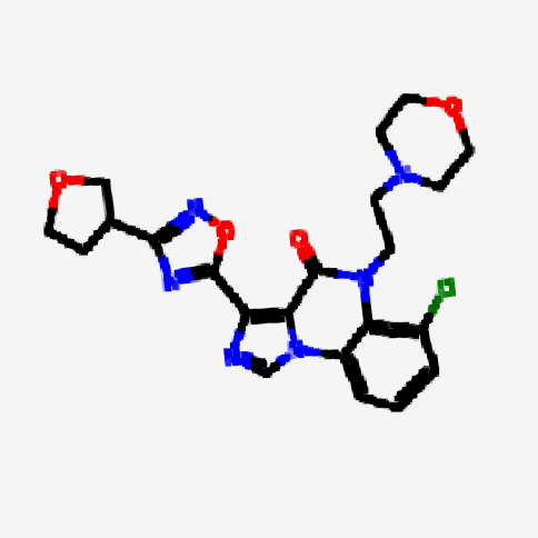 O=c1c2c(-c3nc(C4CCOC4)no3)ncn2c2cccc(Cl)c2n1CCN1CCOCC1